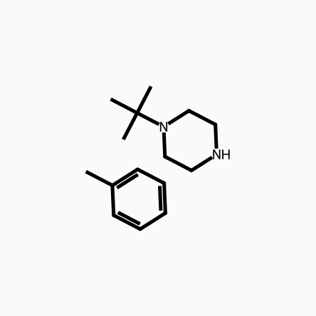 CC(C)(C)N1CCNCC1.Cc1ccccc1